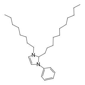 CCCCCCCCCCCC1N(CCCCCCCC)C=CN1c1ccccc1